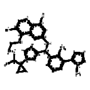 Cc1c(-c2cncn2C)cccc1[C@H](Nc1cc(Cl)c2ncc(C#N)c(NCC(C)(C)C)c2c1)c1cn(C2(C(F)F)CC2)nn1